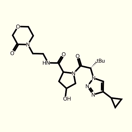 CC(C)(C)[C@@H](C(=O)N1CC(O)CC1C(=O)NCCN1CCOCC1=O)n1cc(C2CC2)nn1